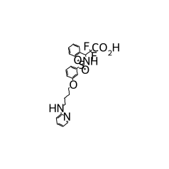 O=C(O)C(F)(F)C(NS(=O)(=O)c1cccc(OCCCCNc2ccccn2)c1)c1ccccc1